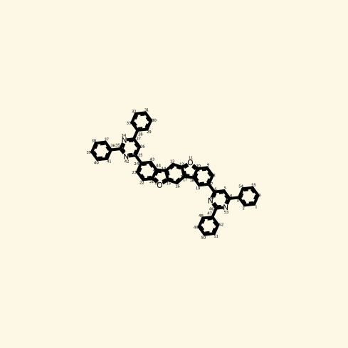 c1ccc(-c2cc(-c3ccc4oc5cc6c(cc5c4c3)oc3ccc(-c4cc(-c5ccccc5)nc(-c5ccccc5)n4)cc36)nc(-c3ccccc3)n2)cc1